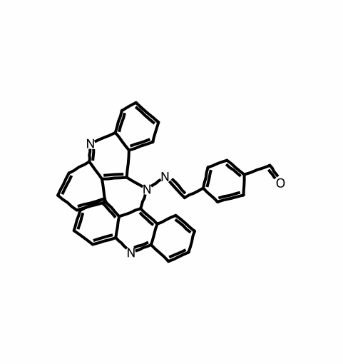 O=Cc1ccc(C=NN(c2c3ccccc3nc3ccccc23)c2c3ccccc3nc3ccccc23)cc1